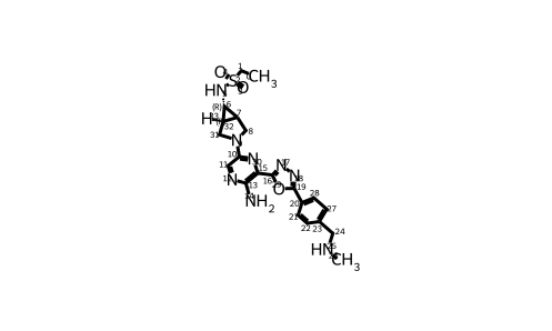 CCS(=O)(=O)N[C@@H]1C2CN(c3cnc(N)c(-c4nnc(-c5ccc(CNC)cc5)o4)n3)C[C@@H]21